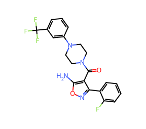 Nc1onc(-c2ccccc2F)c1C(=O)N1CCN(c2cccc(C(F)(F)F)c2)CC1